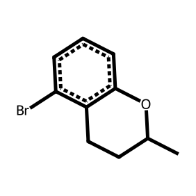 CC1CCc2c(Br)cccc2O1